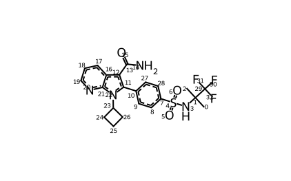 CC(C)(NS(=O)(=O)c1ccc(-c2c(C(N)=O)c3cccnc3n2C2CCC2)cc1)C(F)(F)F